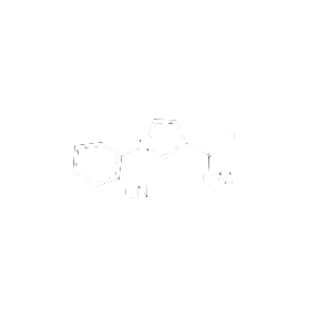 COC(=O)c1ccn(-c2ccccc2C#N)c1